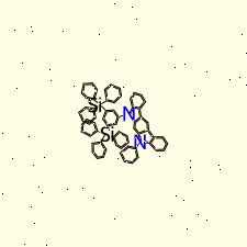 c1ccc(-n2c3ccccc3c3cc4c5ccccc5n(-c5cc([Si](c6ccccc6)(c6ccccc6)c6ccccc6)cc([Si](c6ccccc6)(c6ccccc6)c6ccccc6)c5)c4cc32)cc1